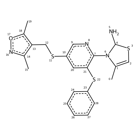 CC1=CSC(N)N1c1ncc(SCc2c(C)noc2C)cc1Sc1ccccc1